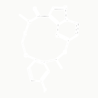 CC1Oc2ccn3ncc(c3n2)C(=O)N(C)CCOc2ccc(F)cc21